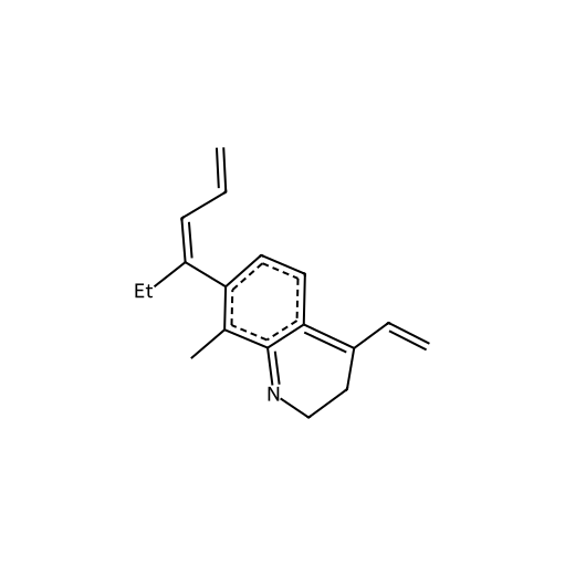 C=C/C=C(/CC)c1ccc2c(c1C)=NCCC=2C=C